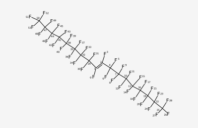 FC(=C(F)C(F)(F)C(F)(F)C(F)(F)C(F)(F)C(F)(F)C(F)(F)C(F)(F)C(F)(F)F)C(F)(F)C(F)(F)C(F)(F)C(F)(F)C(F)(F)C(F)(F)C(F)(F)C(F)(F)F